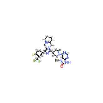 CCn1c(=O)[nH]c2ncnc(N3CCC(c4nc(-c5ccc(F)c(C(F)F)c5)cn4CC4CCCCN4C)CC3)c21